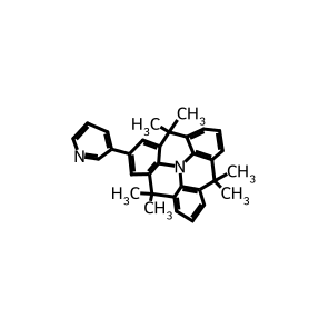 CC1(C)c2cccc3c2N2c4c1cccc4C(C)(C)c1cc(-c4cccnc4)cc(c12)C3(C)C